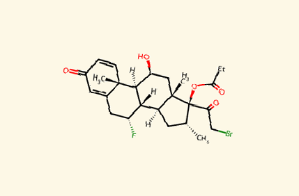 CCC(=O)O[C@@]1(C(=O)CBr)[C@H](C)C[C@H]2[C@H]3[C@H]([C@@H](O)C[C@@]21C)[C@@]1(C)C=CC(=O)C=C1C[C@H]3F